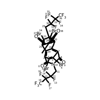 O=c1c2c(Br)c(Br)c(c(=O)n1CC(F)(F)C(F)(F)C(F)(F)F)c1c3c(Br)c(Br)c(c(=O)n(CC(F)(F)C(F)(F)C(F)(F)F)c3=O)c21